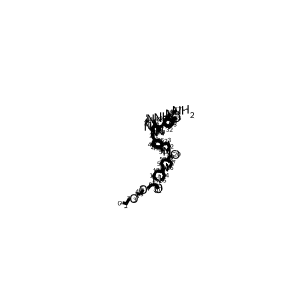 CCCOCCOCCC(=O)N1CCC(N2CCC(C(=O)N3CCc4cc(Cn5nc(-c6ccc7oc(N)nc7c6)c6c(N)ncnc65)ccc4C3)CC2)CC1